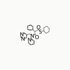 O=C(SC1CCCCC1)C(C(=O)N(Cc1cncnc1)c1ccccn1)c1ccccc1